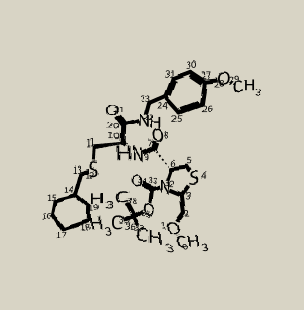 COCC1SC[C@@H](C(=O)N[C@@H](CSCC2CCCCC2)C(=O)NCc2ccc(OC)cc2)N1C(=O)OC(C)(C)C